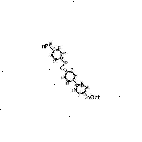 CCCCCCCCc1cnc(-c2ccc(OCc3ccc(CCC)cc3)cc2)nc1